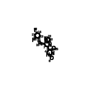 COc1ncc(-c2cc([C@H]3C[C@@H]3c3ccc(F)cc3F)n3nccc3n2)c(OC)n1